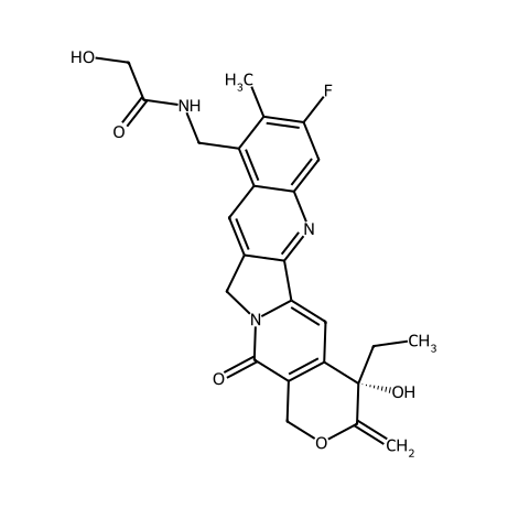 C=C1OCc2c(cc3n(c2=O)Cc2cc4c(CNC(=O)CO)c(C)c(F)cc4nc2-3)[C@@]1(O)CC